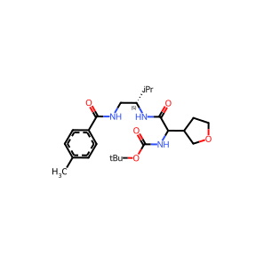 Cc1ccc(C(=O)NC[C@@H](NC(=O)C(NC(=O)OC(C)(C)C)C2CCOC2)C(C)C)cc1